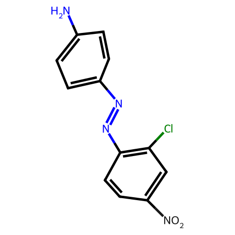 Nc1ccc(/N=N/c2ccc([N+](=O)[O-])cc2Cl)cc1